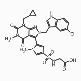 Cn1cc(S(=O)(=O)NCC(=O)O)cc1-c1c2c(=O)n(C)c(=O)n(CC3CC3)c2nn1Cc1c[nH]c2ccc(Cl)cc12